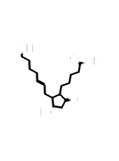 CCCCCC=CCC1C(O)CC(=O)C1CCCCC(=O)O